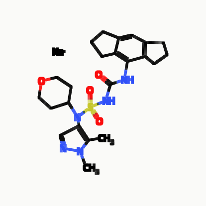 Cc1c(N(C2CCOCC2)S(=O)(=O)NC(=O)Nc2c3c(cc4c2CCC4)CCC3)cnn1C.[Na]